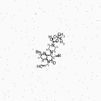 C#CCn1c(=O)c(C#N)c(N2CCN(C(=O)OC(C)(C)C)CC2)c2nc(Br)ccc21